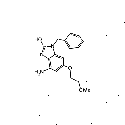 COCCOc1cc(N)c2nc(O)n(Cc3ccccc3)c2c1